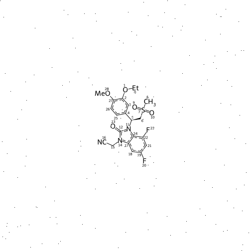 CCOc1cc([C@@H](CS(C)(=O)=O)n2c(=O)n(CC#N)c3cc(F)cc(F)c32)ccc1OC